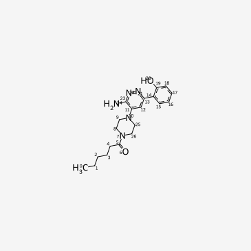 CCCCCC(=O)N1CCN(c2cc(-c3ccccc3O)nnc2N)CC1